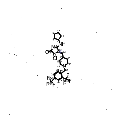 CN1C(=O)N=C(NC2CCCC2)/C1=C/C1CCN(Cc2ccc(C(F)(F)F)cc2C(F)(F)F)CC1